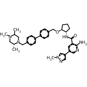 CC1CN(Cc2ccc(-c3ccc(CO[C@H]4CCC[C@@H]4NC(=O)c4cc(-c5cnn(C)c5)cnc4N)cc3)cc2)[C@H](C)CN1C